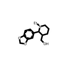 CCN1CCCC(CO)C1c1ccc2c(c1)OCO2